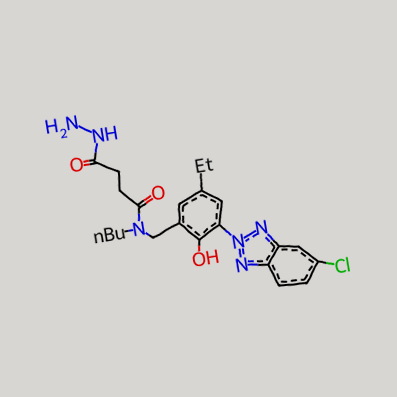 CCCCN(Cc1cc(CC)cc(-n2nc3ccc(Cl)cc3n2)c1O)C(=O)CCC(=O)NN